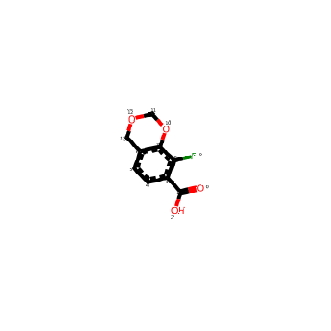 O=C(O)c1ccc2c(c1F)OCOC2